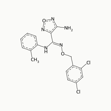 Cc1ccccc1N/C(=N\OCc1ccc(Cl)cc1Cl)c1nonc1N